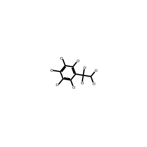 Clc1c(Cl)c(Cl)c(C(Cl)(Cl)C(Cl)Cl)c(Cl)c1Cl